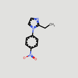 CCc1nccn1-c1ccc([N+](=O)[O-])cc1